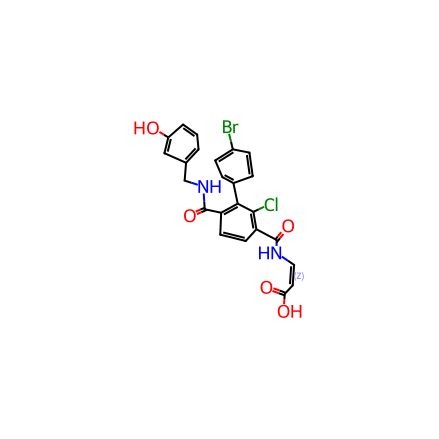 O=C(O)/C=C\NC(=O)c1ccc(C(=O)NCc2cccc(O)c2)c(-c2ccc(Br)cc2)c1Cl